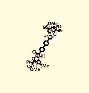 COC(=O)N[C@H](C(=O)N1C[C@@H]([S+](C)[O-])C[C@H]1c1ncc(-c2ccc(-c3ccc(-c4[nH]c([C@@H]5C[C@H](SC)CN5C(=O)[C@@H](NC(=O)OC)C(C)C)nc4Cl)cc3)cc2)[nH]1)C(C)C